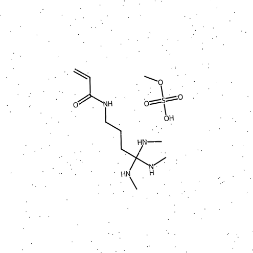 C=CC(=O)NCCCC(NC)(NC)NC.COS(=O)(=O)O